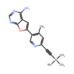 Cc1cc(C#C[Si](C)(C)C(C)(C)C)ncc1-c1cc2c(N)ncnc2o1